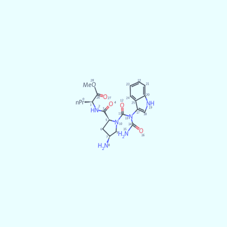 CCC[C@H](NC(=O)[C@@H]1C[C@H](N)CN1C(=O)N(C(N)=O)c1c[nH]c2ccccc12)C(=O)OC